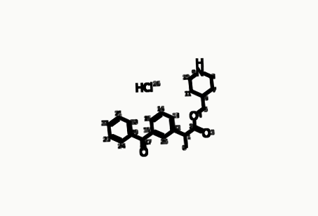 CC(C(=O)OCC1CCNCC1)c1cccc(C(=O)c2ccccc2)c1.Cl